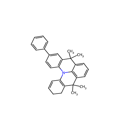 CC1(C)C2=C(C=CCC2)N2c3ccc(-c4ccccc4)cc3C(C)(C)c3cccc1c32